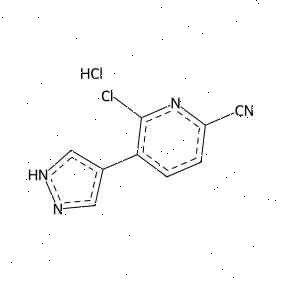 Cl.N#Cc1ccc(-c2cn[nH]c2)c(Cl)n1